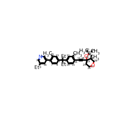 CCc1cncc(-c2ccc(C(CC)(CC)c3ccc(C#CC4(O[Si](C)(C)C)CCOCC4)c(C)c3)cc2C)c1